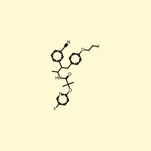 CC(NC(=O)C(C)(C)Oc1ccc(F)cn1)C(Cc1ccc(OCCF)cc1)c1cccc(C#N)c1